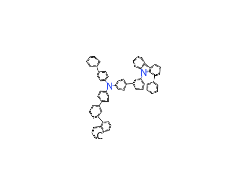 c1ccc(-c2ccc(N(c3ccc(-c4cccc(-c5cccc6ccccc56)c4)cc3)c3ccc(-c4cccc(-n5c6ccccc6c6cccc(-c7ccccc7)c65)c4)cc3)cc2)cc1